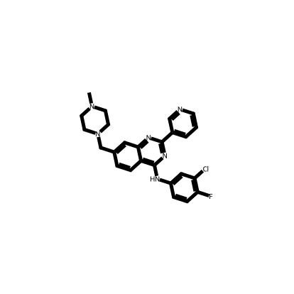 CN1CCN(Cc2ccc3c(Nc4ccc(F)c(Cl)c4)nc(-c4cccnc4)nc3c2)CC1